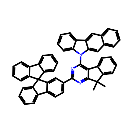 CC1(C)c2ccccc2-c2c(-n3c4ccccc4c4cc5ccccc5cc43)nc(-c3ccc4c(c3)C3(c5ccccc5-c5ccccc53)c3ccccc3-4)nc21